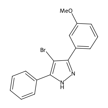 COc1cccc(-c2n[nH]c(-c3ccccc3)c2Br)c1